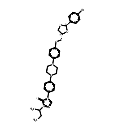 CCC(C)n1ncn(-c2ccc(N3CCN(c4ccc(OC[C@@H]5CO[C@@H](c6ccc(Br)cc6)O5)cc4)CC3)cc2)c1=O